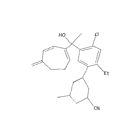 C=C1C=CC(C(C)(O)c2cc(C3CC(C)CC(C#N)C3)c(CC)cc2Cl)=CCC1